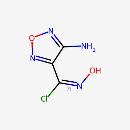 Nc1nonc1/C(Cl)=N\O